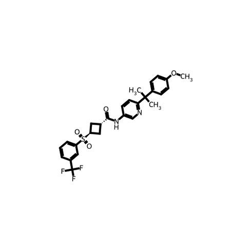 COc1ccc(C(C)(C)c2ccc(NC(=O)[C@H]3C[C@H](S(=O)(=O)c4cccc(C(F)(F)F)c4)C3)cn2)cc1